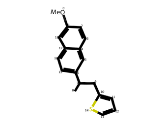 COc1ccc2cc(C(C)Cc3cccs3)ccc2c1